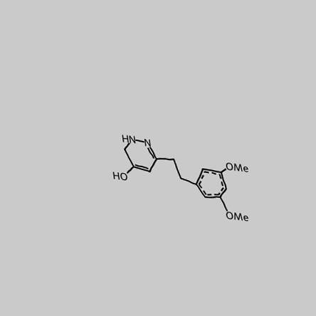 COc1cc(CCC2=NNCC(O)=C2)cc(OC)c1